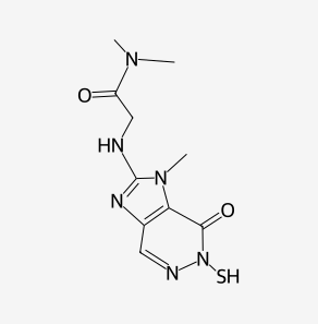 CN(C)C(=O)CNc1nc2cnn(S)c(=O)c2n1C